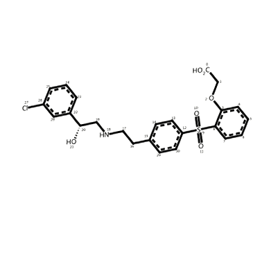 O=C(O)COc1ccccc1S(=O)(=O)c1ccc(CCNC[C@H](O)c2cccc(Cl)c2)cc1